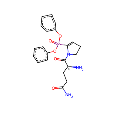 NC(=O)CC[C@H](N)C(=O)N1CCC=C1P(=O)(Oc1ccccc1)Oc1ccccc1